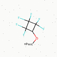 CCCCCOC1C(F)(F)C(F)(F)C1(F)F